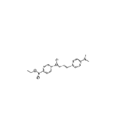 CCOC(=O)c1ccc([N+]([O-])=CC=Cc2ccc(N(C)C)cc2)cc1